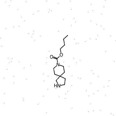 CCCCOC(=O)N1CCC2(CCNC2)CC1